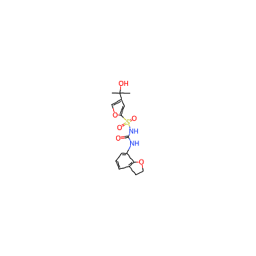 CC(C)(O)c1coc(S(=O)(=O)NC(=O)Nc2cccc3c2OCC3)c1